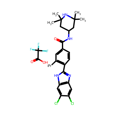 CC(C)c1cc(C(=O)NC2CC(C)(C)NC(C)(C)C2)ccc1-c1nc2cc(Cl)c(Cl)cc2[nH]1.O=C(O)C(F)(F)F